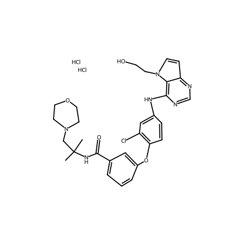 CC(C)(CN1CCOCC1)NC(=O)c1cccc(Oc2ccc(Nc3ncnc4ccn(CCO)c34)cc2Cl)c1.Cl.Cl